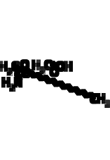 C=C(CCN)C(=O)OCCCCCCCCCCCCCCCCCC.C=CC(=O)O